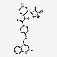 Cc1cc(COc2ccc(C(=O)N[C@@H]3CCNC[C@@H]3c3n[nH]c(=S)[nH]3)cc2)c2ccccc2n1